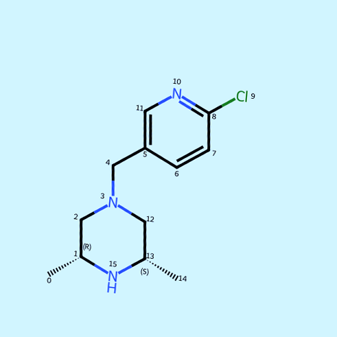 C[C@@H]1CN(Cc2ccc(Cl)nc2)C[C@H](C)N1